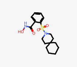 O=C(NO)c1ccccc1S(=O)(=O)N1CCC2(CCCCC2)CC1